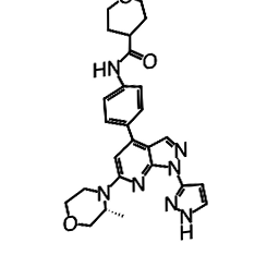 C[C@@H]1COCCN1c1cc(-c2ccc(NC(=O)C3CCOCC3)cc2)c2cnn(-c3cc[nH]n3)c2n1